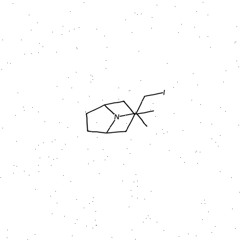 CC1CC2CCC(C1)N2C(C)CI